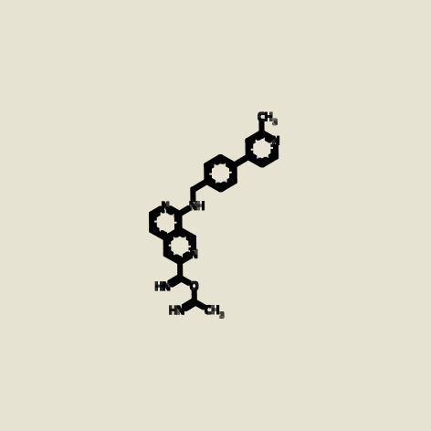 CC(=N)OC(=N)c1cc2ccnc(NCc3ccc(-c4ccnc(C)c4)cc3)c2cn1